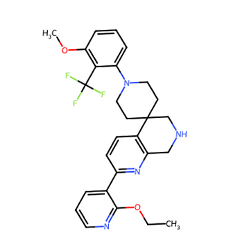 CCOc1ncccc1-c1ccc2c(n1)CNCC21CCN(c2cccc(OC)c2C(F)(F)F)CC1